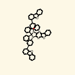 c1ccc(-c2ccccc2C2(c3ccccc3)N(c3ccc(-c4cccc5c4oc4ccccc45)cc3)c3nc4oc5ccccc5c4nc3N2c2ccc(-c3cccc4c3oc3ccccc34)cc2)cc1